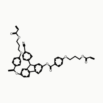 C=CC(=O)OCCCOc1ccc(C(=C)Oc2ccc3c(c2)C(c2ccc(C#N)cc2)c2cc(OC(=O)c4ccc(OCCCOC(=O)C=C)cc4)ccc2-3)cc1